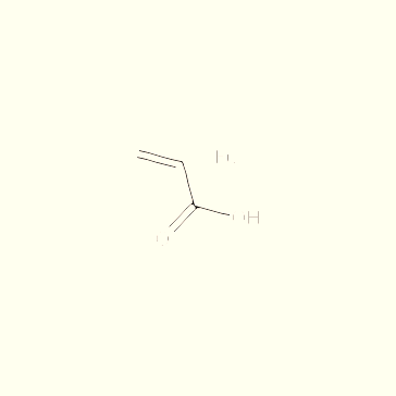 C=CC(=O)O.[Eu]